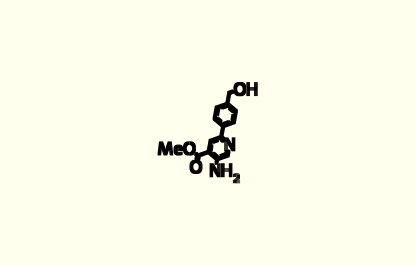 COC(=O)c1cc(-c2ccc(CO)cc2)ncc1N